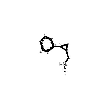 ClNCC1CC1c1ccccc1